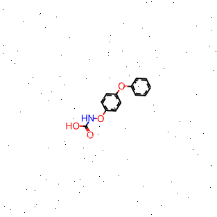 O=C(O)NOc1ccc(Oc2ccccc2)cc1